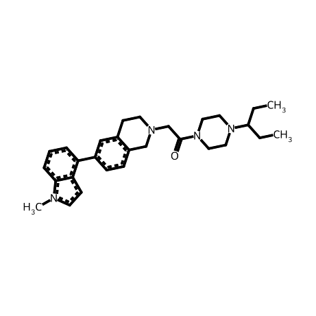 CCC(CC)N1CCN(C(=O)CN2CCc3cc(-c4cccc5c4ccn5C)ccc3C2)CC1